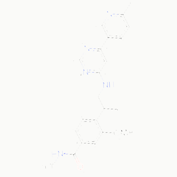 CCCNC(=O)c1ccc(C(C)CNc2cc(-c3ccc(C)nc3)ncn2)c(OC)c1